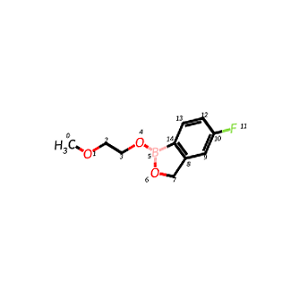 COCCOB1OCc2cc(F)ccc21